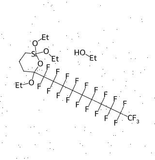 CCO.CCOC1(C(F)(F)C(F)(F)C(F)(F)C(F)(F)C(F)(F)C(F)(F)C(F)(F)C(F)(F)C(F)(F)C(F)(F)F)CCC[Si](OCC)(OCC)O1